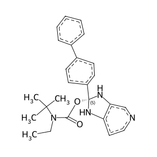 CCN(C(=O)O[C@@]1(c2ccc(-c3ccccc3)cc2)Nc2ccncc2N1)C(C)(C)C